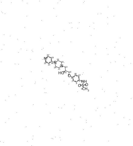 CS(=O)(=O)Nc1ccc(OC[C@@H](O)CN2CCN(c3ccncc3)CC2)cc1